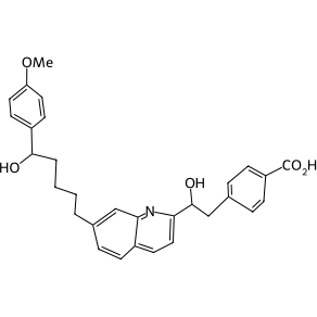 COc1ccc(C(O)CCCCc2ccc3ccc(C(O)Cc4ccc(C(=O)O)cc4)nc3c2)cc1